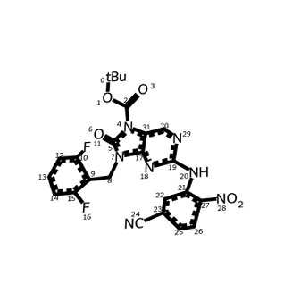 CC(C)(C)OC(=O)n1c(=O)n(Cc2c(F)cccc2F)c2nc(Nc3cc(C#N)ccc3[N+](=O)[O-])ncc21